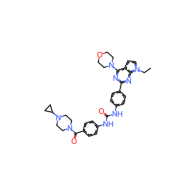 CCn1ccc2c(N3CCOCC3)nc(-c3ccc(NC(=O)Nc4ccc(C(=O)N5CCN(C6CC6)CC5)cc4)cc3)nc21